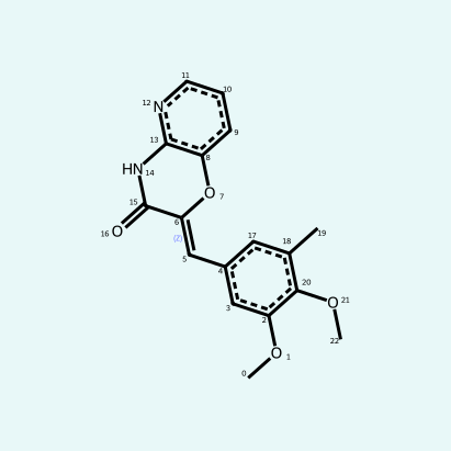 COc1cc(/C=C2\Oc3cccnc3NC2=O)cc(C)c1OC